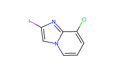 Clc1cccn2cc(I)nc12